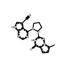 N#Cc1c[nH]c2ncnc(N3CCC[C@H]3c3nn4c(F)ccc4c(=O)[nH]3)c12